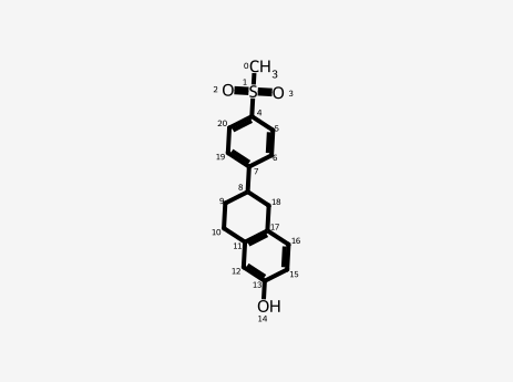 CS(=O)(=O)c1ccc(C2CCc3cc(O)ccc3C2)cc1